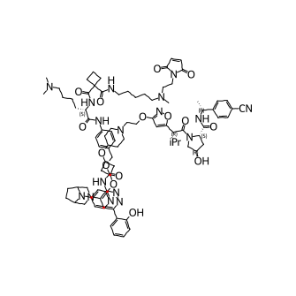 CC(C)[C@@H](C(=O)N1C[C@H](O)C[C@H]1C(=O)N[C@H](C)c1ccc(C#N)cc1)c1cc(OCCN2CCC(OC3CC(Oc4cc(N5C6CCC5CN(c5cc(-c7ccccc7O)nnc5NC(=O)OCc5ccc(NC(=O)[C@H](CCCCN(C)C)NC(=O)C7(C(=O)NCCCCCN(C)CCN8C(=O)C=CC8=O)CCC7)cc5)C6)ccn4)C3)CC2)no1